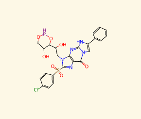 O=c1c2nc(S(=O)(=O)c3ccc(Cl)cc3)n(CC(O)C3OPOCC3O)c2nc2[nH]c(-c3ccccc3)cn12